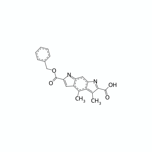 CC1=c2c(cc3c(c2C)C=C(C(=O)OCc2ccccc2)N=3)N=C1C(=O)O